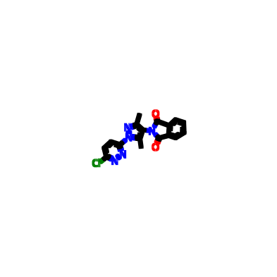 Cc1nn(-c2ccc(Cl)nn2)c(C)c1N1C(=O)c2ccccc2C1=O